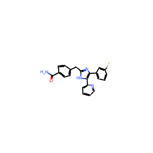 NC(=O)c1ccc(Cc2nc(-c3cccc(F)c3)c(-c3ccccn3)[nH]2)cc1